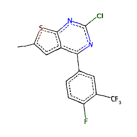 Cc1cc2c(-c3ccc(F)c(C(F)(F)F)c3)nc(Cl)nc2s1